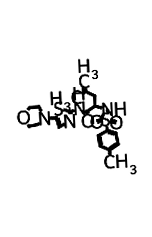 Cc1ccc(S(=O)(=O)NC(CC(C)C)C(=O)Nc2ncc(N3CCOCC3)s2)cc1